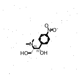 CN(C)[C@@H](CO)[C@@H](O)c1ccc([N+](=O)[O-])cc1